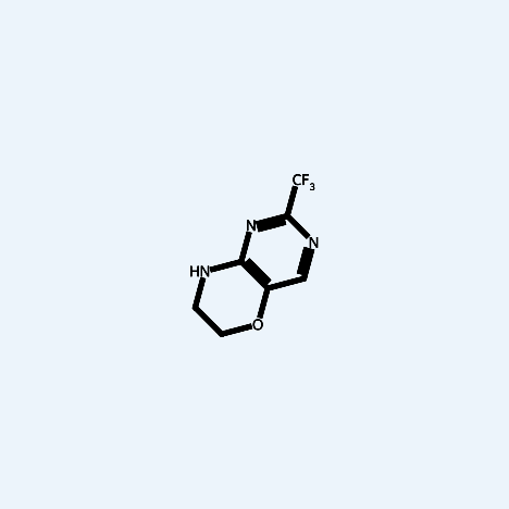 FC(F)(F)c1ncc2c(n1)NCCO2